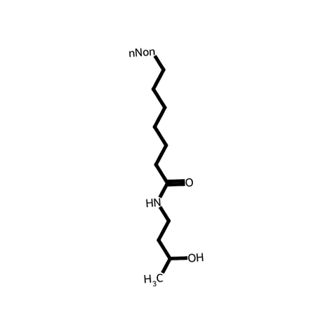 CCCCCCCCCCCCCCCC(=O)NCCC(C)O